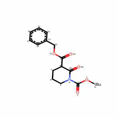 CC(C)(C)OC(=O)N1CCCC(C(=O)OCc2ccccc2)C1=O